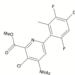 COC(=O)c1nc(-c2c(F)cc(Cl)c(F)c2C)cc(NC(C)=O)c1Cl